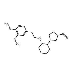 COc1ccc(CCO[C@H]2CCCC[C@@H]2N2CC[C@@H](N=O)C2)cc1OC